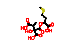 CSCCC(OC(=O)C(O)(C(=O)O)C(C)C(=O)O)C(=O)O